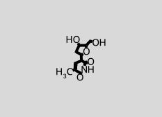 CC1=CC(C2CC(O)C(CO)O2)C(=O)NC1=O